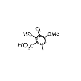 COc1cc(C)c(C(=O)O)c(O)c1Cl